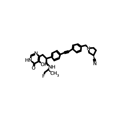 C[C@@H](CF)NCC(Cc1nc[nH]c(=O)c1O)c1ccc(C#Cc2ccc(CN3CC[C@@H](C#N)C3)cc2)cc1